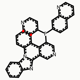 c1cnc2cc(P(c3ccncc3)c3cncc4c3c3ccccc3n3c5ccccc5nc43)ccc2c1